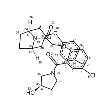 O=C(c1cc(Cl)ccc1OCC(=O)N1[C@@H]2CC[C@H]1CC(Oc1ccc(F)cc1)C2)N1CC[C@@H](O)C1